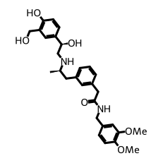 COc1ccc(CNC(=O)Cc2cccc(C[C@@H](C)NC[C@H](O)c3ccc(O)c(CO)c3)c2)cc1OC